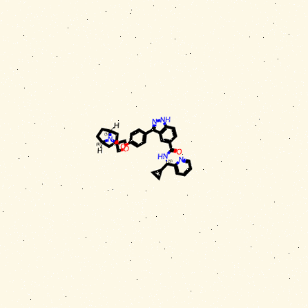 O=C(N[C@H](c1ccccn1)C1CC1)c1ccc2[nH]nc(-c3ccc(O[C@@H]4C[C@H]5CC[C@@H](C4)N5C4COC4)cc3)c2c1